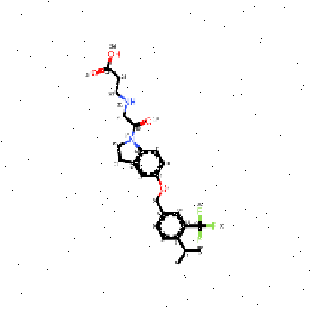 CC(C)c1ccc(COc2ccc3c(c2)CCN3C(=O)CNCCC(=O)O)cc1C(F)(F)F